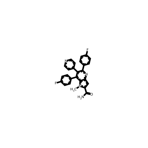 Cn1c(C(N)=O)cc2nc(-c3ccc(F)cc3)c(-c3ccncc3)c(-c3ccc(F)cc3)c21